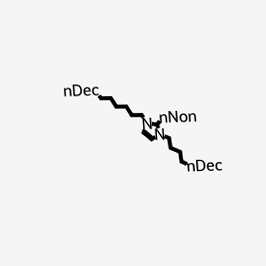 CCCCCCCCCCCCCCCCN1C=CN(CCCCCCCCCCCCCC)C1CCCCCCCCC